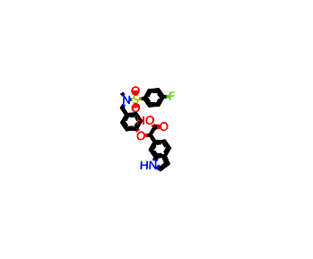 CN(Cc1ccc(OC(C(=O)O)c2ccc3cc[nH]c3c2)cc1)S(=O)(=O)c1ccc(F)cc1